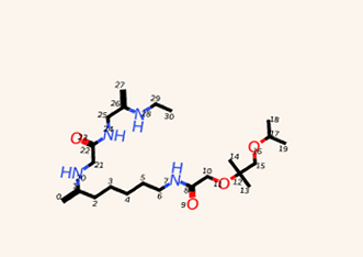 C=C(CCCCCNC(=O)COC(C)(C)COC(C)C)NCC(=O)NCC(=C)NCC